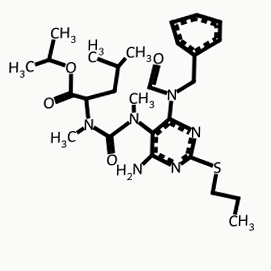 CCCSc1nc(N)c(N(C)C(=O)N(C)C(CC(C)C)C(=O)OC(C)C)c(N(C=O)Cc2ccccc2)n1